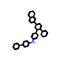 C1=CCCC(C2=CC=C(c3ccc4c(c3)CCC=C4)CC2C2C=CC(Nc3ccc(-c4ccccc4)cc3)=CC2)=C1